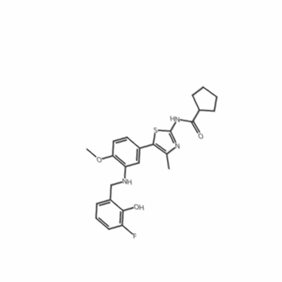 COc1ccc(-c2sc(NC(=O)C3CCCC3)nc2C)cc1NCc1cccc(F)c1O